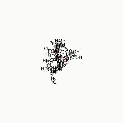 CN[C@H](CC(C)C)C(=O)N[C@H]1C(=O)N[C@@H](CC(N)=O)C(=O)N[C@H]2C(=O)N[C@H]3C(=O)N[C@H](C(=O)N[C@@H](C(=O)NOCCN4CCOCC4)c4cc(O)cc(O)c4-c4cc3ccc4O)[C@H](O)c3ccc(c(Cl)c3)Oc3cc2cc(c3O[C@@H]2O[C@H](CO)[C@@H](O)[C@H](O)[C@H]2O[C@H]2C[C@](C)(NCc3cncc(C(=O)Nc4cc(Cl)cc(Cl)c4)c3)[C@H](O)[C@H](C)O2)Oc2ccc(cc2Cl)[C@H]1O